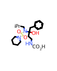 CC(C)CN(C(O)(CCNC(=O)O)Cc1ccccc1)S(=O)(=O)N1CCCCC1